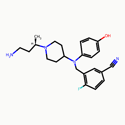 C[C@H](CCN)N1CCC(N(Cc2cc(C#N)ccc2F)c2ccc(O)cc2)CC1